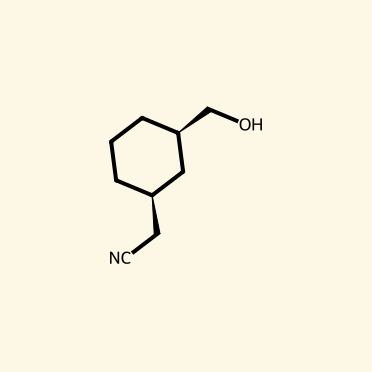 N#CC[C@H]1CCC[C@@H](CO)C1